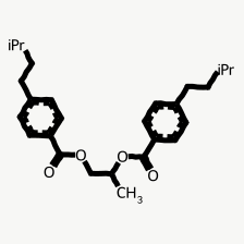 CC(C)CCc1ccc(C(=O)OCC(C)OC(=O)c2ccc(CCC(C)C)cc2)cc1